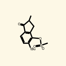 CC1Cc2c(ccc(C(C)(C)C)c2OS(C)(=O)=O)C1=O